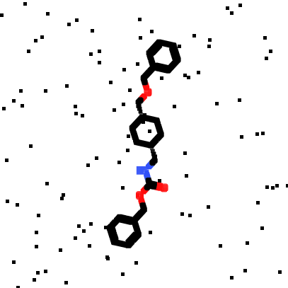 O=C(NC[C@H]1CC[C@@H](COCc2ccccc2)CC1)OCc1ccccc1